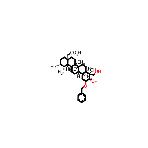 C[C@H]1[C@H](C)CC[C@]2(CC(=O)O)CC[C@]3(C)C(=CC[C@@H]4[C@@]5(C)CC(OCc6ccccc6)C(O)[C@@](C)(CO)[C@@H]5CC[C@]43C)[C@H]12